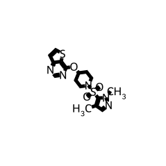 Cc1cnn(C)c1S(=O)(=O)N1CCC(Oc2ncnc3ccsc23)CC1